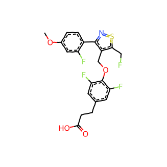 COc1ccc(-c2nsc(CF)c2COc2c(F)cc(CCC(=O)O)cc2F)c(F)c1